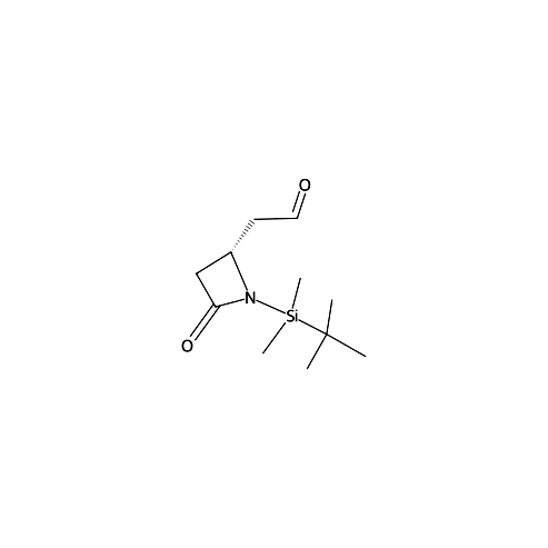 CC(C)(C)[Si](C)(C)N1C(=O)C[C@@H]1CC=O